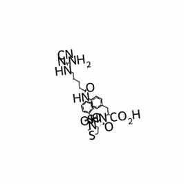 N#C/N=C(\N)NCCCCC(=O)Nc1ccc(C[C@H](NC(=O)[C@@H]2CSCN2S(=O)(=O)c2ccccc2)C(=O)O)cc1